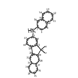 CC1(C)c2cc(Nc3ccc4ccccc4c3)ccc2-c2cc3ccccc3cc21